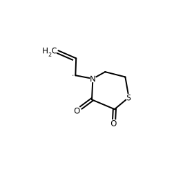 C=C[CH]N1CCSC(=O)C1=O